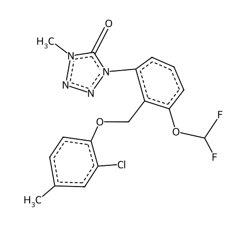 Cc1ccc(OCc2c(OC(F)F)cccc2-n2nnn(C)c2=O)c(Cl)c1